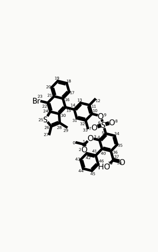 CC(=O)Oc1c(S(=O)(=O)Oc2c(C)cc(-c3c4ccccc4c(Br)c4sc(C)c(C)c34)cc2C)ccc(C(=O)O)c1-c1ccccc1